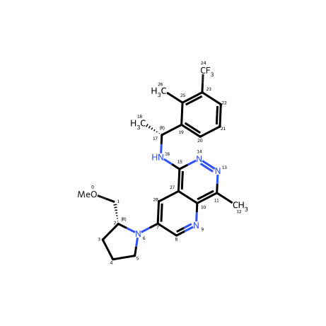 COC[C@H]1CCCN1c1cnc2c(C)nnc(N[C@H](C)c3cccc(C(F)(F)F)c3C)c2c1